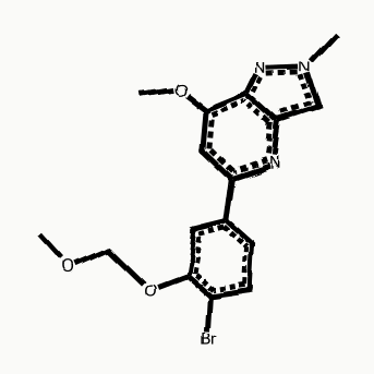 COCOc1cc(-c2cc(OC)c3nn(C)cc3n2)ccc1Br